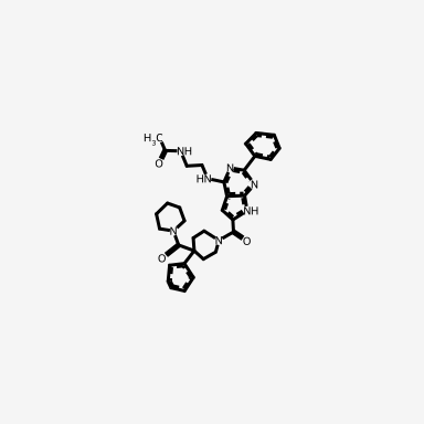 CC(=O)NCCNc1nc(-c2ccccc2)nc2[nH]c(C(=O)N3CCC(C(=O)N4CCCCC4)(c4ccccc4)CC3)cc12